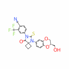 N#Cc1ccc(N2C(=O)C3(CCC3)N(c3ccc4c(c3)OC[C@@H](CO)O4)C2=S)cc1C(F)(F)F